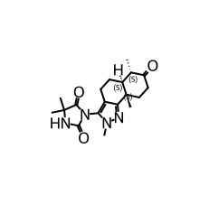 C[C@@H]1C(=O)CC[C@]2(C)c3nn(C)c(N4C(=O)NC(C)(C)C4=O)c3CC[C@@H]12